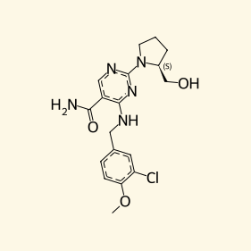 COc1ccc(CNc2nc(N3CCC[C@H]3CO)ncc2C(N)=O)cc1Cl